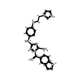 Nc1nc(Nc2ccc(OCCn3ccnc3)cc2)nn1C(=O)c1ccc2sccc2c1